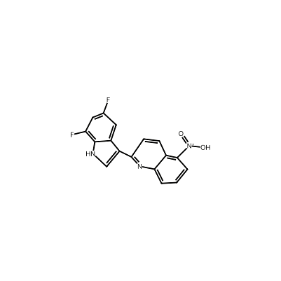 O=[N+](O)c1cccc2nc(-c3c[nH]c4c(F)cc(F)cc34)ccc12